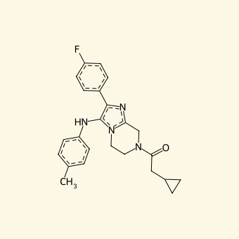 Cc1ccc(Nc2c(-c3ccc(F)cc3)nc3n2CCN(C(=O)CC2CC2)C3)cc1